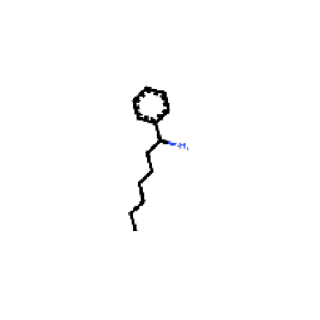 CCCCCC[C](N)c1ccccc1